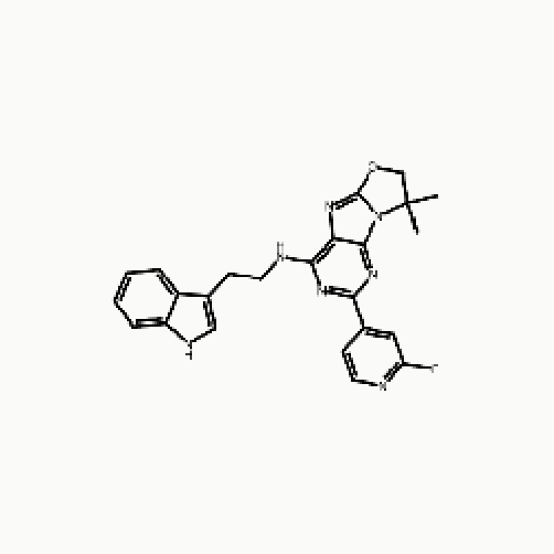 CC1(C)COc2nc3c(NCCc4c[nH]c5ccccc45)nc(-c4ccnc(F)c4)nc3n21